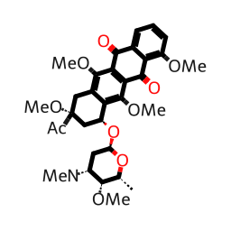 CN[C@@H]1C[C@@H](O[C@@H]2C[C@@](OC)(C(C)=O)Cc3c(OC)c4c(c(OC)c32)C(=O)c2c(OC)cccc2C4=O)O[C@H](C)[C@@H]1OC